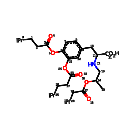 CC(C)CCC(=O)Oc1ccc(C[C@H](NCC(C)OC(=O)CC(C)C)C(=O)O)cc1OC(=O)CCC(C)C